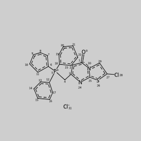 O=c1cc(C[P+](c2ccccc2)(c2ccccc2)c2ccccc2)nc2sc(Cl)cn12.[Cl-]